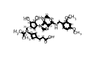 COc1ccc(CNc2ncnc3c2ncn3[C@@H]2C[C@H](CN(C(C)C)C3CC(CCC(=O)O)C3)[C@@H](O)[C@H]2O)c(OC)c1